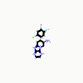 N[C@H]1Cn2c(nc3nccnc32)C[C@@H]1c1cc(F)c(F)cc1F